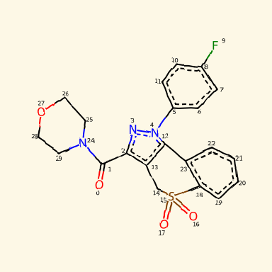 O=C(c1nn(-c2ccc(F)cc2)c2c1CS(=O)(=O)c1ccccc1-2)N1CCOCC1